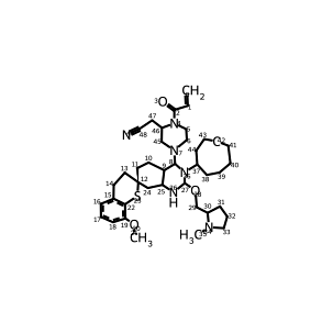 C=CC(=O)N1CCN(C2C3CC[C@@]4(CCc5cccc(OC)c5S4)CC3NC(OCC3CCCN3C)N2C2CCCCCCC2)CC1CC#N